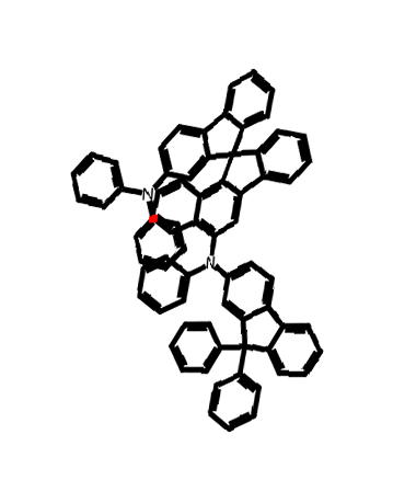 c1ccc(N(c2ccccc2)c2ccc3c(c2)C2(c4ccccc4-3)c3ccccc3-c3cc(N(c4ccccc4)c4ccc5c(c4)C(c4ccccc4)(c4ccccc4)c4ccccc4-5)c4ccccc4c32)cc1